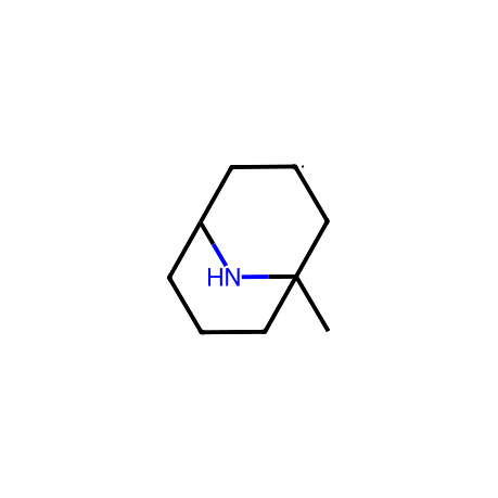 CC12C[CH]CC(CCC1)N2